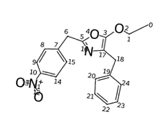 CCOc1oc(Cc2ccc([N+](=O)[O-])cc2)nc1Cc1ccccc1